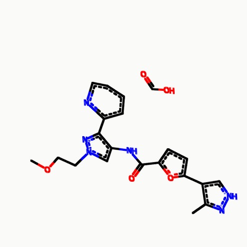 COCCn1cc(NC(=O)c2ccc(-c3c[nH]nc3C)o2)c(-c2ccccn2)n1.O=CO